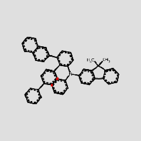 CC1(C)c2ccccc2-c2ccc(N(c3ccccc3)c3cccc(-c4ccc5ccccc5c4)c3-c3ccc(-c4ccccc4)cc3)cc21